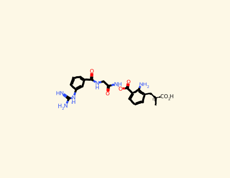 C[C@@H](Cc1cccc(C(=O)ONC(=O)CNC(=O)c2cccc(NC(=N)N)c2)c1N)C(=O)O